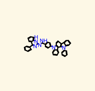 N=C(/N=c1/nc(-c2ccccc2)c2ccccc2[nH]1)c1ccc(-n2c3ccccc3c3c2ccc2c4ccccc4n(-c4ccccc4)c23)cc1